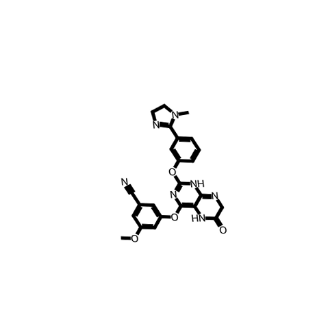 COc1cc(C#N)cc(OC2=C3NC(=O)CN=C3NC(Oc3cccc(C4=NCCN4C)c3)=N2)c1